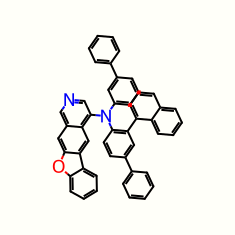 c1ccc(-c2cccc(N(c3ccc(-c4ccccc4)cc3-c3cccc4ccccc34)c3cncc4cc5oc6ccccc6c5cc34)c2)cc1